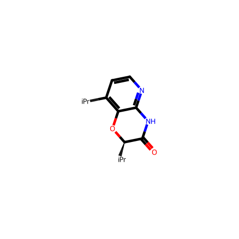 CC(C)c1ccnc2c1O[C@H](C(C)C)C(=O)N2